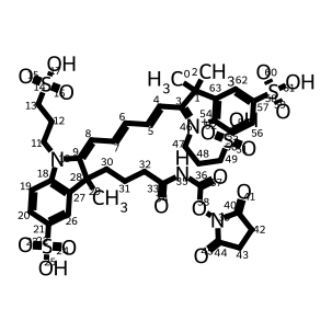 CC1(C)C(/C=C/C=C/C=C2/N(CCCS(=O)(=O)O)c3ccc(S(=O)(=O)O)cc3C2(C)CCCC(=O)NC(=O)ON2C(=O)CCC2=O)=[N+](CCCS(=O)(=O)O)c2ccc(S(=O)(=O)O)cc21